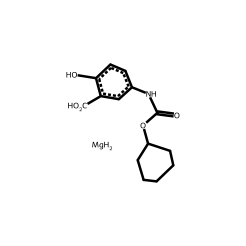 O=C(Nc1ccc(O)c(C(=O)O)c1)OC1CCCCC1.[MgH2]